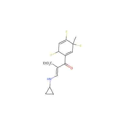 CCOC(=O)/C(=C\NC1CC1)C(=O)C1=CC(C)(F)C(F)=CC1F